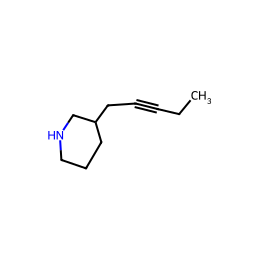 CCC#CCC1CCCNC1